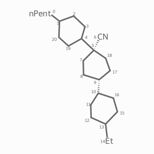 CCCCCC1CCC([C@]2(C#N)CC[C@@H](C3CCC(CC)CC3)CC2)CC1